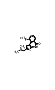 CN(C)Cc1cc2c([nH]c(=O)c3cccc(F)c32)s1.Cl